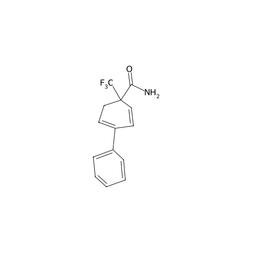 NC(=O)C1(C(F)(F)F)C=CC(c2ccccc2)=CC1